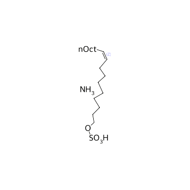 CCCCCCCC/C=C\CCCCCCCCOS(=O)(=O)O.N